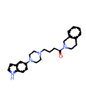 O=C(CCCN1CCN(c2ccc3[nH]ccc3c2)CC1)N1CCc2ccccc2C1